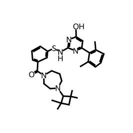 Cc1cccc(C)c1-c1cc(O)nc(NSc2cccc(C(=O)N3CCCN(C4C(C)(C)CC4(C)C)CC3)c2)n1